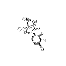 CC(C)COC[C@@]1(C(F)(F)F)O[C@@H](n2ccc(=O)[nH]c2=O)[C@H](F)[C@@H]1O